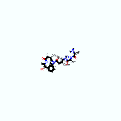 C=C(NC(=O)[C@H](C)[C@@H](OC)[C@@H]1CCN1C(=O)C[C@@H](OC)[C@H](C(C)CC)N(C)C(=O)[C@@H](NC(=O)[C@H](C(C)C)N(C)C)C(C)C)[C@@H](O)c1ccccc1